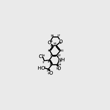 O=C(O)c1c(CCl)c2cc3c(cc2[nH]c1=O)OCCO3